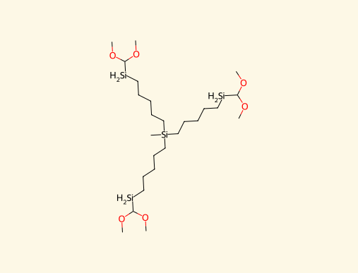 COC(OC)[SiH2]CCCCC[Si](C)(CCCCC[SiH2]C(OC)OC)CCCCC[SiH2]C(OC)OC